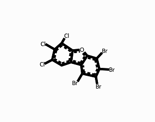 Clc1cc2c(oc3c(Br)c(Br)c(Br)c(Br)c32)c(Cl)c1Cl